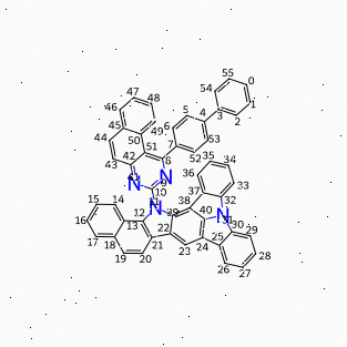 c1ccc(-c2ccc(-c3nc(-n4c5c6ccccc6ccc5c5cc6c7ccccc7n7c8ccccc8c(c54)c67)nc4ccc5ccccc5c34)cc2)cc1